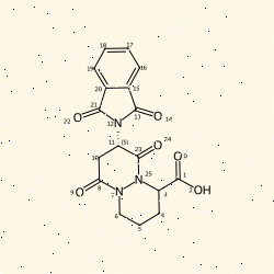 O=C(O)C1CCCN2C(=O)C[C@H](N3C(=O)c4ccccc4C3=O)C(=O)N12